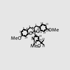 COc1ccc(CN(Cc2ccc(OC)cc2)S(=O)(=O)c2cc(C(C)(C)OC)n(C)n2)cc1